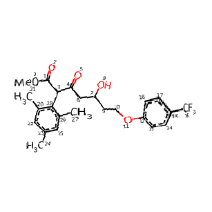 COC(=O)C(C(=O)CC(O)CCOc1ccc(C(F)(F)F)cc1)c1c(C)cc(C)cc1C